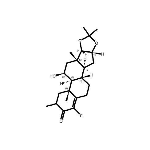 CC1C[C@@]2(C)C(=C(Cl)C1=O)CC[C@@H]1[C@@H]2[C@@H](O)C[C@]2(C)[C@@H]3OC(C)(C)O[C@@H]3C[C@@H]12